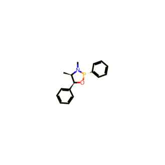 C[C@@H]1[C@H](c2ccccc2)O[P@@](c2ccccc2)N1C